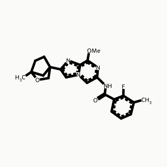 COc1nc(NC(=O)c2cccc(C)c2F)cn2cc(C34CCC(C)(C3)OC4)nc12